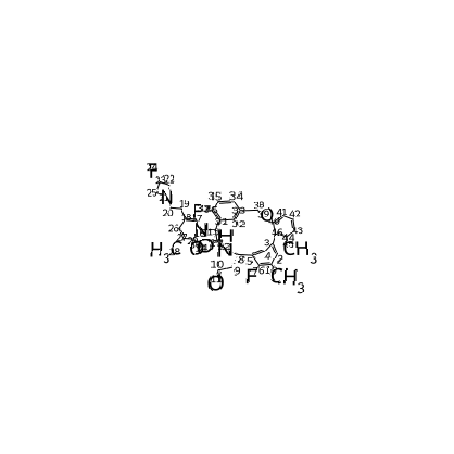 Cc1cc2cc(c1F)[C@H](CC=O)NC(=O)[C@@H](n1cc(CCN3CC(F)C3)cc(C)c1=O)c1cc(ccc1F)COc1cccc(C)c1-2